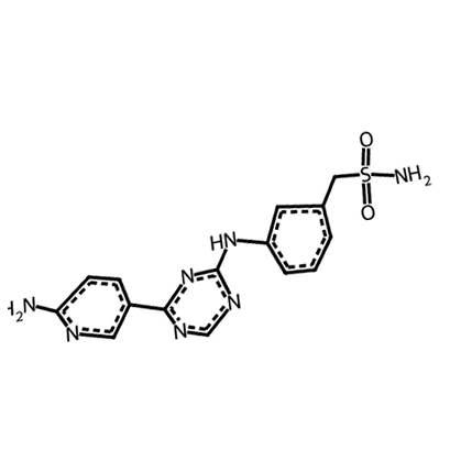 Nc1ccc(-c2ncnc(Nc3cccc(CS(N)(=O)=O)c3)n2)cn1